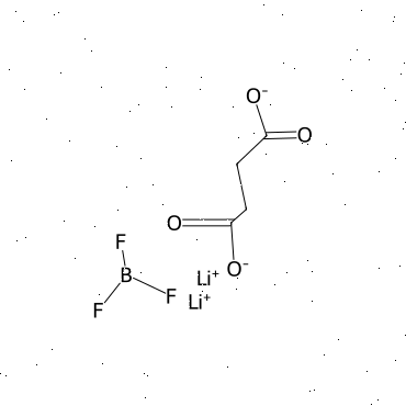 FB(F)F.O=C([O-])CCC(=O)[O-].[Li+].[Li+]